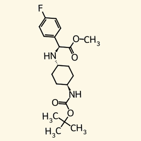 COC(=O)[C@@H](N[C@H]1CC[C@H](NC(=O)OC(C)(C)C)CC1)c1ccc(F)cc1